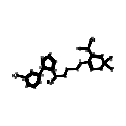 CC(CCCOC1=CCC(Br)(Br)C=C1C(=O)O)n1cnnc1-c1cccc(N)n1